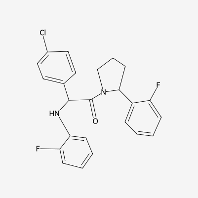 O=C(C(Nc1ccccc1F)c1ccc(Cl)cc1)N1CCCC1c1ccccc1F